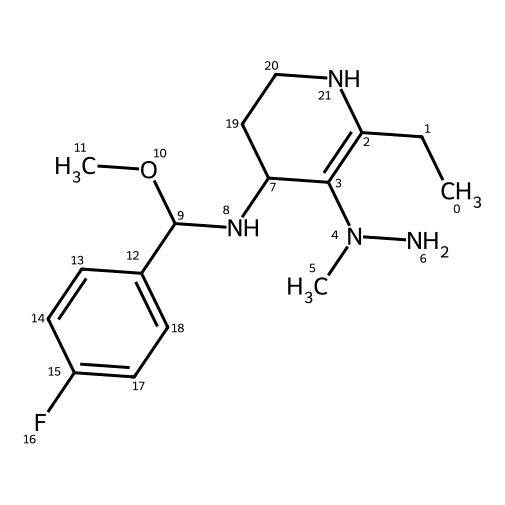 CCC1=C(N(C)N)C(NC(OC)c2ccc(F)cc2)CCN1